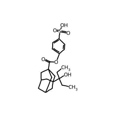 CCC(O)(CC)C12CC3CC(CC(C(=O)Oc4ccc(S(=O)(=O)O)cc4)(C3)C1)C2